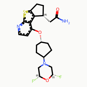 NC(=O)C[C@H]1CCc2sc3nccc(O[C@H]4CC[C@H](N5C[C@@H](F)O[C@@H](F)C5)CC4)c3c21